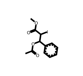 COC(=O)C(I)C(OC(C)=O)c1ccccc1